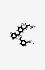 CCOCC1Cc2cc(C(OCc3cccc([N+](=O)[O-])c3)c3ccccc3)ccc2OO1